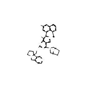 C#Cc1cccc2cc(O)cc(-c3ncc4c(N5C[C@H]6CC[C@@H](C5)N6)nc(OCC56CCCN5Cc5ccncc56)nc4c3F)c12